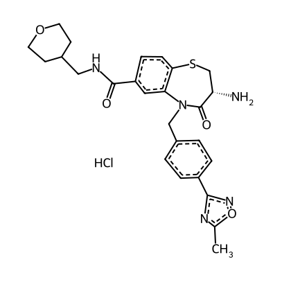 Cc1nc(-c2ccc(CN3C(=O)[C@@H](N)CSc4ccc(C(=O)NCC5CCOCC5)cc43)cc2)no1.Cl